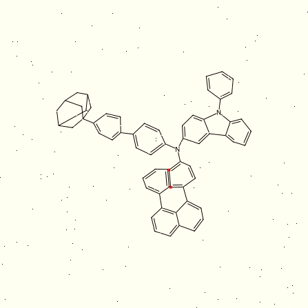 c1ccc(-c2cccc3cccc(-c4ccc(N(c5ccc(-c6ccc(C78CC9CC(CC(C9)C7)C8)cc6)cc5)c5ccc6c(c5)c5ccccc5n6-c5ccccc5)cc4)c23)cc1